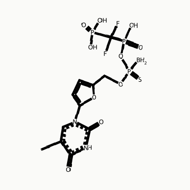 BP(=S)(OCC1=C=C=C(n2cc(C)c(=O)[nH]c2=O)O1)OP(=O)(O)C(F)(F)P(=O)(O)O